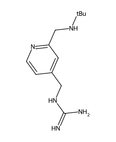 CC(C)(C)NCc1cc(CNC(=N)N)ccn1